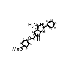 COc1ccc(OCc2cc3c(N)nc(-c4ccccc4)nc3[nH]2)cc1